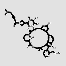 CCn1c(-c2cccnc2COC)c2c3cc(ccc31)-c1cc(O)cc(c1)C[C@H](NC(=O)[C@H](C(C)C)N(C)C(=O)C1CN(C(=O)C#CCN(C)C)C1)C(=O)N1CCC[C@@](O)(N1)C(=O)OCC(C)(C)C2